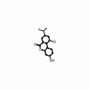 CC(F)c1cc(Cl)c2c(c1)c(=O)oc1cc(O)ccc12